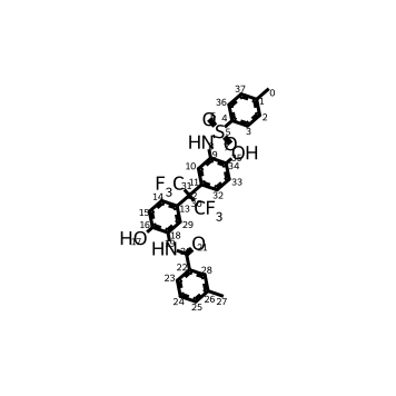 Cc1ccc(S(=O)(=O)Nc2cc(C(c3ccc(O)c(NC(=O)c4cccc(C)c4)c3)(C(F)(F)F)C(F)(F)F)ccc2O)cc1